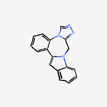 c1ccc2c(c1)-c1cc3ccccc3n1Cc1nncn1-2